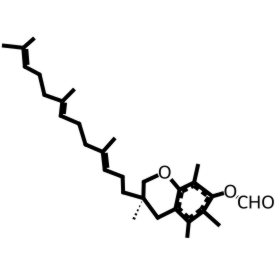 CC(C)=CCC/C(C)=C/CC/C(C)=C/CC[C@@]1(C)COc2c(C)c(OC=O)c(C)c(C)c2C1